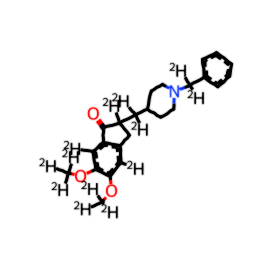 [2H]c1c2c(c([2H])c(OC([2H])([2H])[2H])c1OC([2H])([2H])[2H])C(=O)C([2H])(C([2H])([2H])C1CCN(C([2H])([2H])c3ccccc3)CC1)C2